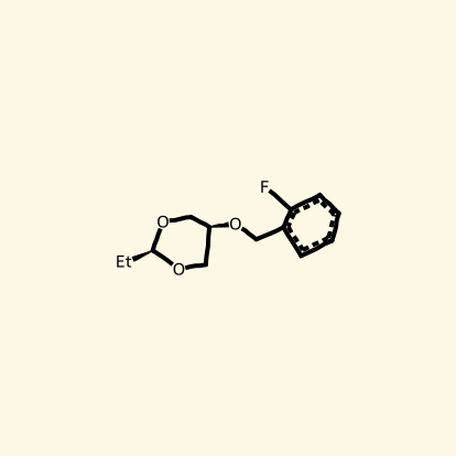 CC[C@H]1OC[C@@H](OCc2ccccc2F)CO1